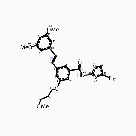 COCCCOc1cc(/C=C/c2cc(OC)cc(OC)c2)cc(C(=O)Nc2ncc(F)s2)c1